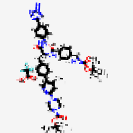 Cc1cc(N2CCN(C(=O)OC(C)(C)C)CC2)ncc1-c1ccc(C[C@H](NC(=O)[C@H]2CC[C@H](CNC(=O)OC(C)(C)C)CC2)C(=O)Nc2ccc(-c3nn[nH]n3)cc2)cc1.O=C(O)C(F)(F)F